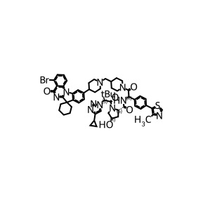 Cc1ncsc1-c1ccc([C@@H](NC(=O)[C@@H]2C[C@@H](O)CN2C(=O)[C@@H](n2cc(C3CC3)nn2)C(C)(C)C)C(=O)N2CCC(CN3CCC(c4ccc5c(c4)-n4c(nc(=O)c6c(Br)cccc64)C54CCCCC4)CC3)CC2)cc1